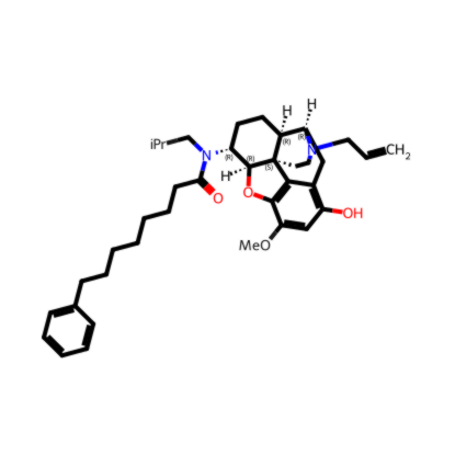 C=CCN1CC[C@]23c4c5c(O)cc(OC)c4O[C@H]2[C@H](N(CC(C)C)C(=O)CCCCCCCc2ccccc2)CC[C@H]3[C@H]1C5